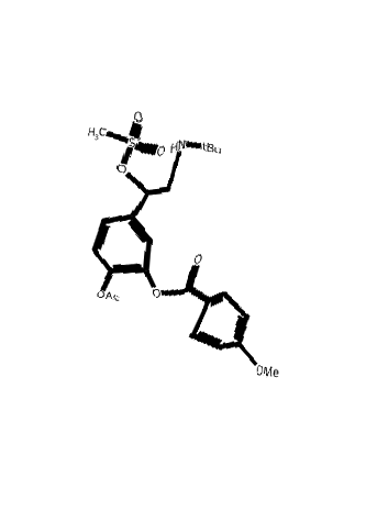 COc1ccc(C(=O)Oc2cc(C(CNC(C)(C)C)OS(C)(=O)=O)ccc2OC(C)=O)cc1